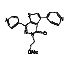 COCCn1nc(-c2ccncc2)c2scc(-c3ccncc3)c2c1=O